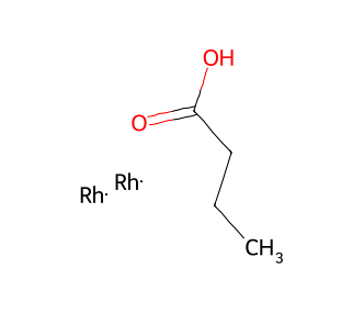 CCCC(=O)O.[Rh].[Rh]